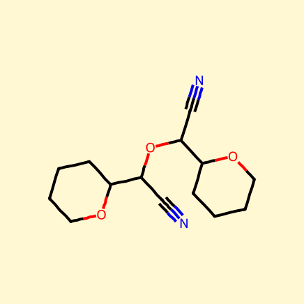 N#CC(OC(C#N)C1CCCCO1)C1CCCCO1